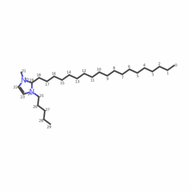 CCCCCCCCCCCCCCCCCCCC1N(C)C=CN1CCCCC